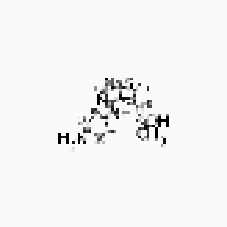 CC(O)C[C@H]1CCc2sc3ncnc(NC4CCC(N)CC4)c3c21